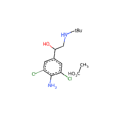 CC(=O)O.CC(C)(C)NCC(O)c1cc(Cl)c(N)c(Cl)c1